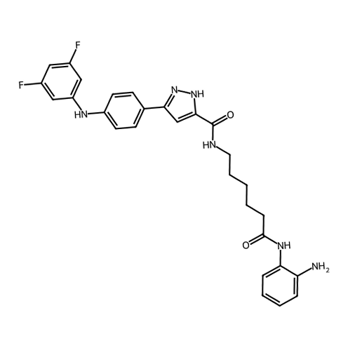 Nc1ccccc1NC(=O)CCCCCNC(=O)c1cc(-c2ccc(Nc3cc(F)cc(F)c3)cc2)n[nH]1